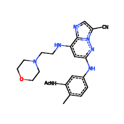 CC(=O)Nc1cc(Nc2cc(NCCN3CCOCC3)c3ncc(C#N)n3n2)ccc1C